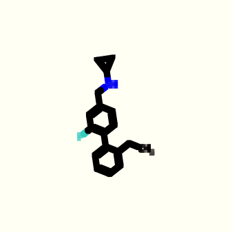 CCc1ccccc1-c1ccc(CNC2CC2)cc1F